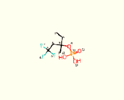 CCC(C)(CC(F)(F)F)OP(=O)(O)O